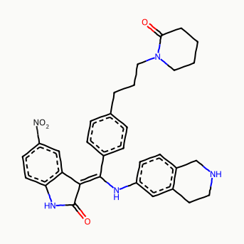 O=C1Nc2ccc([N+](=O)[O-])cc2/C1=C(/Nc1ccc2c(c1)CCNC2)c1ccc(CCCN2CCCCC2=O)cc1